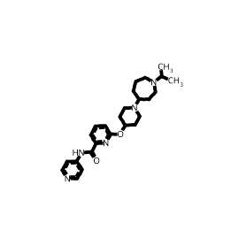 CC(C)N1CCCC(N2CCC(Oc3cccc(C(=O)Nc4ccncc4)n3)CC2)CC1